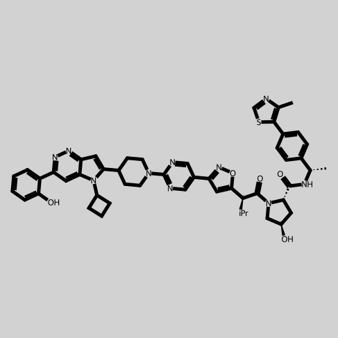 Cc1ncsc1-c1ccc([C@H](C)NC(=O)[C@@H]2C[C@@H](O)CN2C(=O)[C@H](c2cc(-c3cnc(N4CCC(c5cc6nnc(-c7ccccc7O)cc6n5C5CCC5)CC4)nc3)no2)C(C)C)cc1